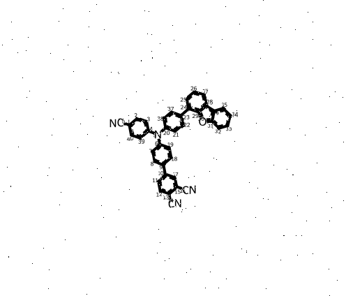 N#Cc1ccc(N(c2ccc(-c3ccc(C#N)c(C#N)c3)cc2)c2ccc(-c3cccc4c3oc3ccccc34)cc2)cc1